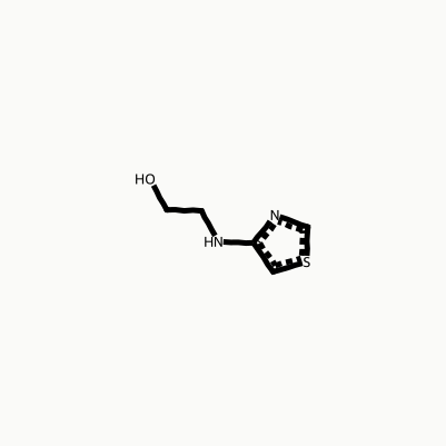 OCCNc1cscn1